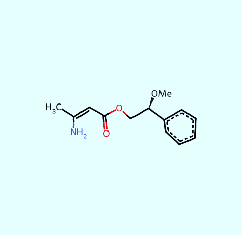 CO[C@H](COC(=O)/C=C(/C)N)c1ccccc1